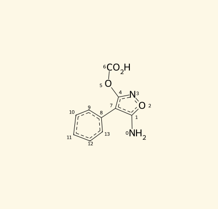 Nc1onc(OC(=O)O)c1-c1ccccc1